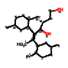 CC1CCC(C(C)C)C(C(C(=O)O)=C(C(O)CCCO)C2CC(C)CCC2C(C)C)C1